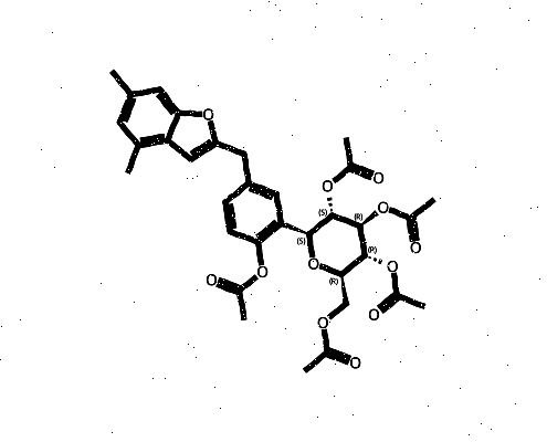 CC(=O)OC[C@H]1O[C@@H](c2cc(Cc3cc4c(C)cc(C)cc4o3)ccc2OC(C)=O)[C@H](OC(C)=O)[C@@H](OC(C)=O)[C@@H]1OC(C)=O